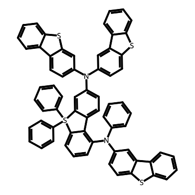 c1ccc(N(c2ccc3sc4ccccc4c3c2)c2cccc3c2-c2ccc(N(c4ccc5c(c4)sc4ccccc45)c4ccc5sc6ccccc6c5c4)cc2S3(c2ccccc2)c2ccccc2)cc1